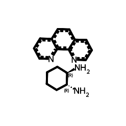 N[C@@H]1CCCC[C@H]1N.c1cnc2c(c1)ccc1cccnc12